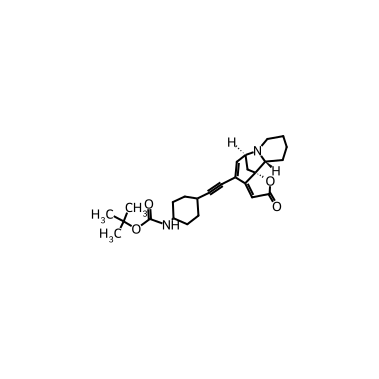 CC(C)(C)OC(=O)NC1CCC(C#CC2=C[C@@H]3C[C@@]4(OC(=O)C=C24)[C@H]2CCCCN32)CC1